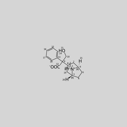 CC(C)[N+]1(C)[C@@H]2CC[C@@H]1CC(C(CO)(C(=O)[O-])c1ccccc1)C2